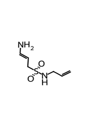 C=CCNS(=O)(=O)CC=CN